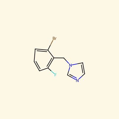 Fc1cccc(Br)c1Cn1ccnc1